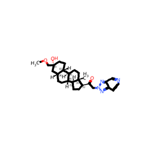 COC[C@@]1(O)CC[C@H]2[C@H](CC[C@@H]3[C@@H]2CC[C@]2(C)[C@@H](C(=O)Cn4nc5ccncc5n4)CC[C@@H]32)C1